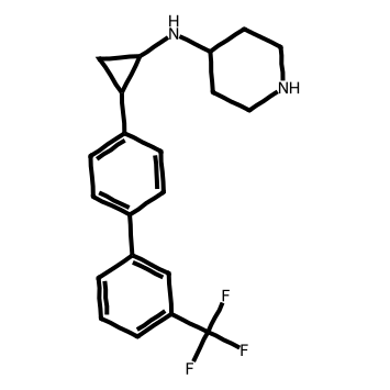 FC(F)(F)c1cccc(-c2ccc(C3CC3NC3CCNCC3)cc2)c1